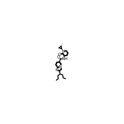 CCCC(CCC)c1cn2cc(C(=O)Nc3cccn([C@H]4C[C@@H]4C)c3=O)ccc2n1